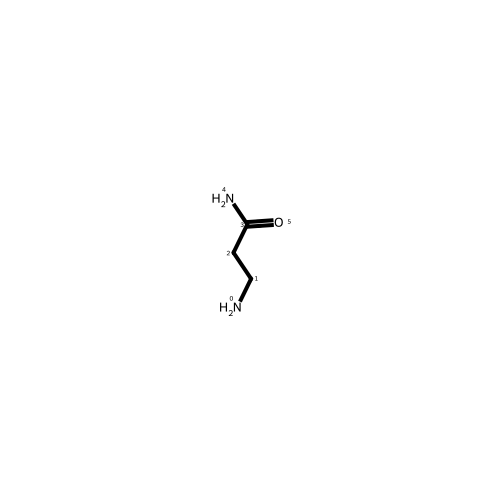 N[CH]CC(N)=O